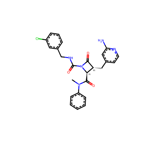 CN(C(=O)[C@@H]1[C@@H](Cc2ccnc(N)c2)C(=O)N1C(=O)NCc1cccc(Cl)c1)c1ccccc1